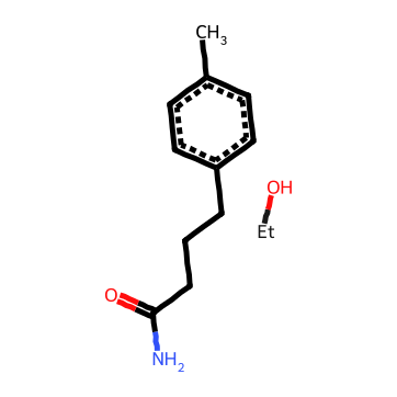 CCO.Cc1ccc(CCCC(N)=O)cc1